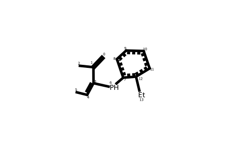 C=C(C)/C(=C\C)Pc1ccccc1CC